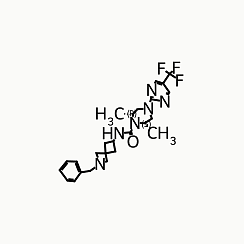 C[C@@H]1CN(c2ncc(C(F)(F)F)cn2)C[C@H](C)N1C(=O)NC1CC2(C1)CN(Cc1ccccc1)C2